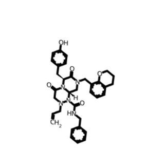 C=CCN1CC(=O)N2[C@@H](Cc3ccc(O)cc3)C(=O)N(Cc3cccc4c3OCCC4)C[C@@H]2N1C(=O)NCc1ccccc1